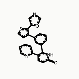 O=c1ccc(-c2ccccn2)c(-c2cccc(-c3ccsc3-c3cnco3)c2)[nH]1